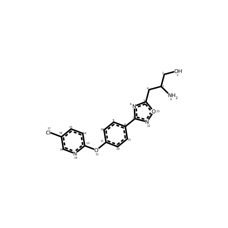 NC(CO)Cc1nc(-c2ccc(Oc3ccc(Cl)cn3)cc2)no1